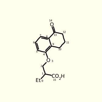 CCC(COc1cccc2c1CCCC2=O)C(=O)O